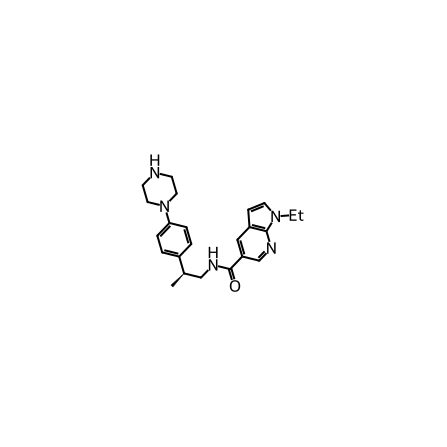 CCn1ccc2cc(C(=O)NC[C@@H](C)c3ccc(N4CCNCC4)cc3)cnc21